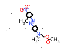 CCN(CCOC(C)=O)c1ccc(/N=N/c2ccc([N+](=O)[O-])cc2C)cc1